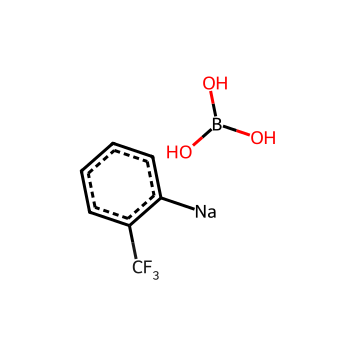 FC(F)(F)c1cccc[c]1[Na].OB(O)O